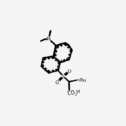 CCCCC(C(=O)O)S(=O)(=O)c1cccc2c(N(C)C)cccc12